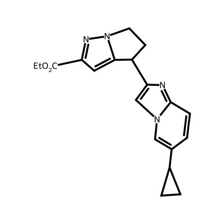 CCOC(=O)c1cc2n(n1)CCC2c1cn2cc(C3CC3)ccc2n1